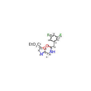 CCOC(=O)[C@@H]1CN=C([C@@H](C)NC(=O)Cc2cc(F)cc(F)c2)O1